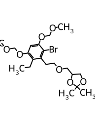 CCc1c(OCOC)cc(OCOC)c(Br)c1CCOCC1COC(C)(C)O1